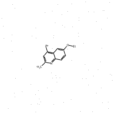 CCOc1ccc2nc(C)cc(C(C)C)c2c1